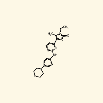 CCn1c(C)c(-c2ccnc(Nc3ccc(N4CCOCC4)cc3)n2)sc1=O